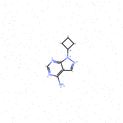 Nc1ncnc2c1cnn2C1CCC1